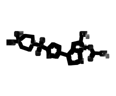 O=C(On1c(C(F)(F)F)cc2c(-c3ccc(S(=O)(=O)N4CCS(O)(O)CC4)nc3)ccnc21)C(F)(F)F